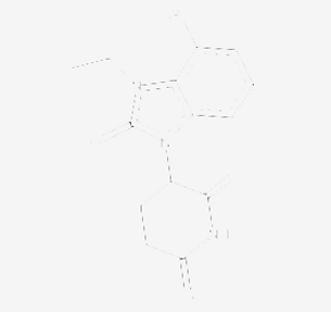 CCn1c(=O)n(C2CCC(=O)NC2=O)c2cccc(Br)c21